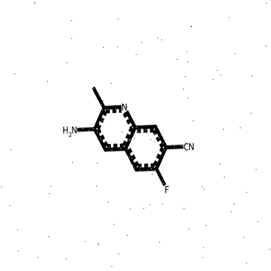 Cc1nc2cc(C#N)c(F)cc2cc1N